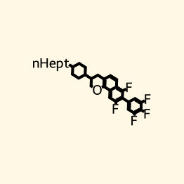 CCCCCCCC1CCC(C2COc3c(ccc4c(F)c(-c5cc(F)c(F)c(F)c5)c(F)cc34)C2)CC1